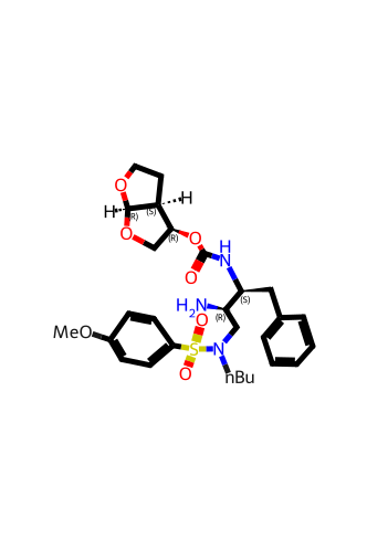 CCCCN(C[C@@H](N)[C@H](Cc1ccccc1)NC(=O)O[C@H]1CO[C@H]2OCC[C@H]21)S(=O)(=O)c1ccc(OC)cc1